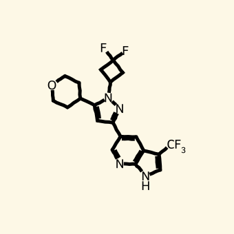 FC1(F)CC(n2nc(-c3cnc4[nH]cc(C(F)(F)F)c4c3)cc2C2CCOCC2)C1